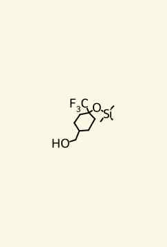 C[Si](C)(C)OC1(C(F)(F)F)CCC(CO)CC1